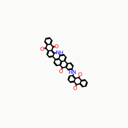 O=C1c2ccccc2C(=O)c2c(Nc3ccc4c(c3)c(=O)c3ccc5c6ccc7c(c6[nH]c6ccc4c3c65)C(=O)c3ccccc3C7=O)cccc21